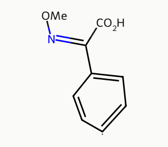 CON=C(C(=O)O)c1cc[c]cc1